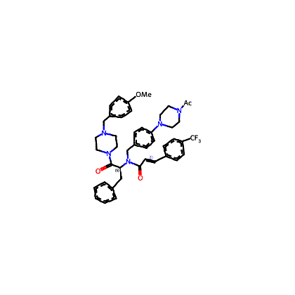 COc1ccc(CN2CCN(C(=O)[C@H](Cc3ccccc3)N(Cc3ccc(N4CCN(C(C)=O)CC4)cc3)C(=O)/C=C/c3ccc(C(F)(F)F)cc3)CC2)cc1